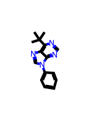 CC(C)(C)c1ncnc2c1ncn2-c1ccccc1